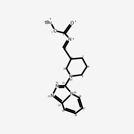 CC(C)(C)OC(=O)N=CC1CCCN(c2nnc3ccccn23)C1